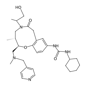 CC(CO)N1C[C@@H](C)[C@H](CN(C)Cc2ccncc2)Oc2ccc(NC(=O)NC3CCCCC3)cc2CC1=O